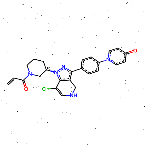 C=CC(=O)N1CCC[C@@H](n2nc(-c3ccc(-n4ccc(=O)cc4)cc3)c3c2C(Cl)=CNC3)C1